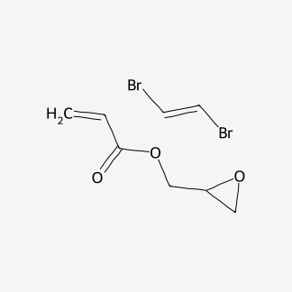 BrC=CBr.C=CC(=O)OCC1CO1